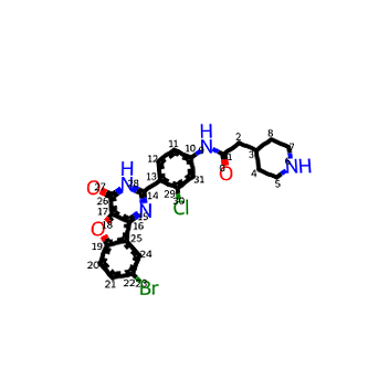 O=C(CC1CCNCC1)Nc1ccc(-c2nc3c(oc4ccc(Br)cc43)c(=O)[nH]2)c(Cl)c1